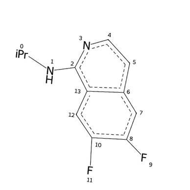 CC(C)Nc1nccc2cc(F)c(F)cc12